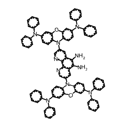 Nc1c(N)c2cc(N3c4ccc(N(c5ccccc5)c5ccccc5)cc4Oc4cc(N(c5ccccc5)c5ccccc5)ccc43)cnc2c2ncc(N3c4ccc(N(c5ccccc5)c5ccccc5)cc4Oc4cc(N(c5ccccc5)c5ccccc5)ccc43)cc12